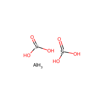 O=[Si](O)O.O=[Si](O)O.[AlH3]